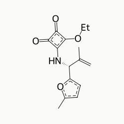 C=C(C)[C@@H](Nc1c(OCC)c(=O)c1=O)c1ccc(C)o1